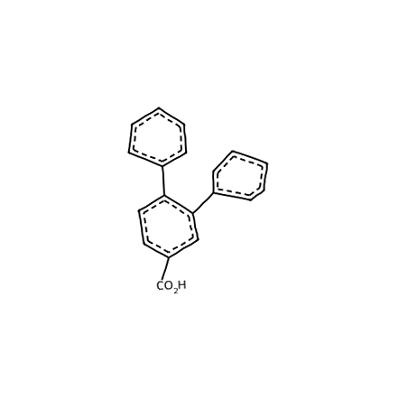 O=C(O)c1ccc(-c2ccccc2)c(-c2ccccc2)c1